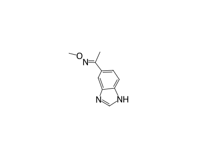 CON=C(C)c1ccc2[nH]cnc2c1